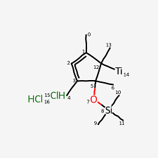 CC1=C=C(C)C(C)(O[Si](C)(C)C)[C]1(C)[Ti].Cl.Cl